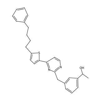 CC(O)c1cccc(Cc2nccc(-c3ccc(CCCCc4ccccc4)s3)n2)c1